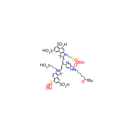 CC(C)(C)C(=O)CCCCCNC(=O)c1ccc(C(=C\C=C2\N(CCCSOOO)c3ccc4c(S(=O)(=O)O)cc(S(=O)(=O)O)cc4c3C2(C)C)/C=C/C2=[N+](CCCS(=O)(=O)O)c3ccc4c(SOOO)cc(S(=O)(=O)O)cc4c3C2(C)C)nc1